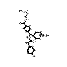 CC(C)c1ccc(NC(=O)NC(c2ccc(C(=O)NCCC(=O)O)cc2)C2CCC(C(C)(C)C)CC2)cc1